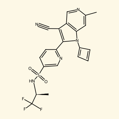 Cc1cc2c(cn1)c(C#N)c(-c1ccc(S(=O)(=O)N[C@@H](C)C(F)(F)F)cn1)n2C1=CC=C1